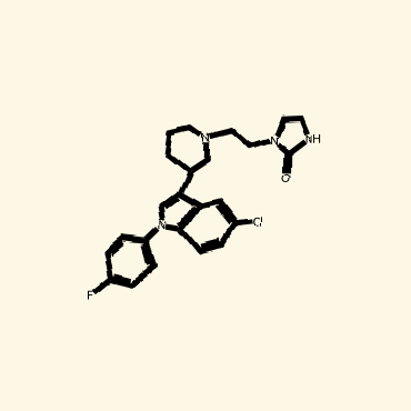 O=C1NCCN1CCN1CCCC(c2cn(-c3ccc(F)cc3)c3ccc(Cl)cc23)C1